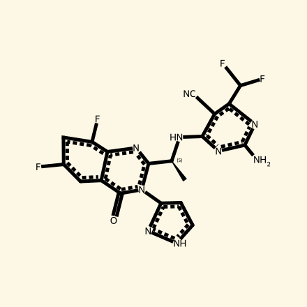 C[C@H](Nc1nc(N)nc(C(F)F)c1C#N)c1nc2c(F)cc(F)cc2c(=O)n1-c1cc[nH]n1